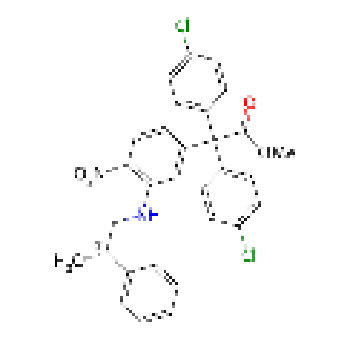 COC(=O)C(c1ccc(Cl)cc1)(c1ccc(Cl)cc1)c1ccc([N+](=O)[O-])c(NC[C@@H](C)c2ccccc2)c1